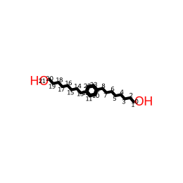 OCCCCCCCCc1ccc(CCCCCCCCO)cc1